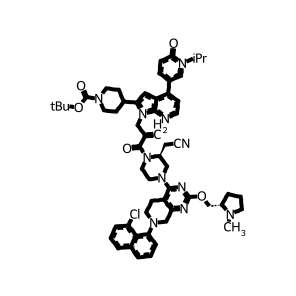 C=C(Cn1c(C2CCN(C(=O)OC(C)(C)C)CC2)cc2c(-c3ccc(=O)n(C(C)C)c3)ccnc21)C(=O)N1CCN(c2nc(OC[C@@H]3CCCN3C)nc3c2CCN(c2cccc4cccc(Cl)c24)C3)C[C@@H]1CC#N